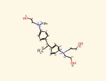 CCCN(CCO)c1ccc(C(C)c2ccc(N(CCO)CCO)cc2)cc1